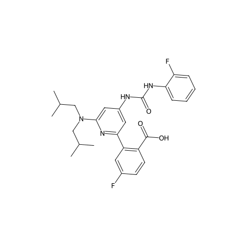 CC(C)CN(CC(C)C)c1cc(NC(=O)Nc2ccccc2F)cc(-c2cc(F)ccc2C(=O)O)n1